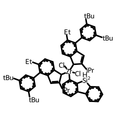 CCc1ccc2c(c1-c1cc(C(C)(C)C)cc(C(C)(C)C)c1)C=C(C(C)C)[CH]2[Zr]([Cl])([Cl])([c]1cccc2c1[SiH2]c1ccccc1-2)[CH]1C(C(C)C)=Cc2c1ccc(CC)c2-c1cc(C(C)(C)C)cc(C(C)(C)C)c1